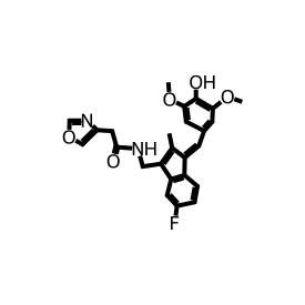 COc1cc(C=C2C(C)=C(CNC(=O)Cc3cocn3)c3cc(F)ccc32)cc(OC)c1O